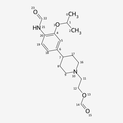 CC(C)Oc1cc(C2CCN(CCOC=O)CC2)ccc1NC=O